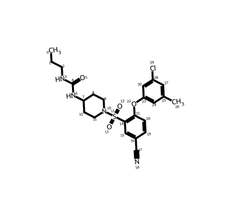 CCCNC(=O)NC1CCN(S(=O)(=O)c2cc(C#N)ccc2Oc2cc(C)cc(Cl)c2)CC1